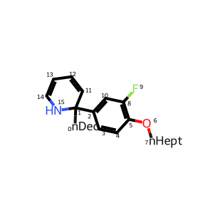 CCCCCCCCCCC1(c2ccc(OCCCCCCC)c(F)c2)C=CC=CN1